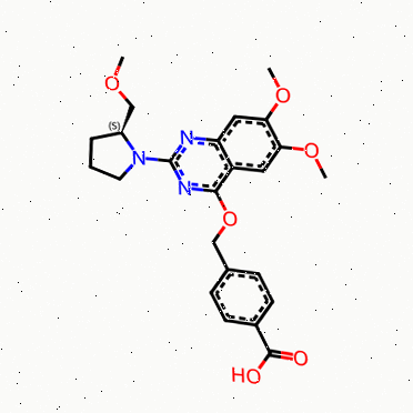 COC[C@@H]1CCCN1c1nc(OCc2ccc(C(=O)O)cc2)c2cc(OC)c(OC)cc2n1